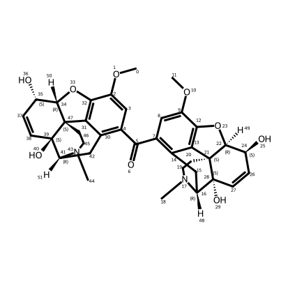 COc1cc(C(=O)c2cc(OC)c3c4c2C[C@H]2N(C)CC[C@@]45[C@@H](O3)[C@@H](O)C=C[C@@]25O)c2c3c1O[C@H]1[C@@H](O)C=C[C@@]4(O)[C@@H](C2)N(C)CC[C@]314